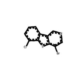 Clc1cccc2c1sc1c(Br)cncc12